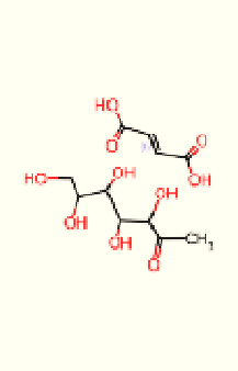 CC(=O)C(O)C(O)C(O)C(O)CO.O=C(O)/C=C/C(=O)O